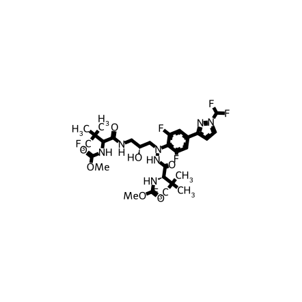 COC(=O)NC(C(=O)NC[C@@H](O)CN(NC(=O)[C@@H](NC(=O)OC)C(C)(C)C(F)(F)F)c1c(F)cc(-c2ccn(C(F)F)n2)cc1F)C(C)(C)C(F)(F)F